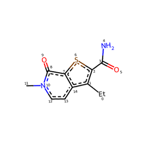 CCc1c(C(N)=O)sc2c(=O)n(C)ccc12